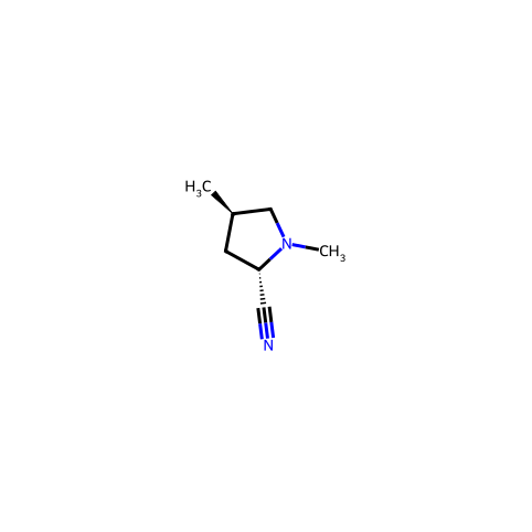 C[C@@H]1C[C@@H](C#N)N(C)C1